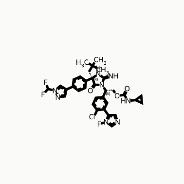 CC(C)(C)C[C@]1(c2ccc(-c3cnn(C(F)F)c3)cc2)NC(=N)N([C@H](COC(=O)NC2CC2)c2ccc(Cl)c(-c3cncn3F)c2)C1=O